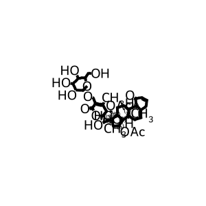 CC(=O)OC[C@]12CC[C@H]3[C@@H](CC=C4CC=CC(=O)[C@@]43C)[C@]1(O)[C@@H](OC(C)=O)C[C@@]2(O)C(C)(O)[C@H]1CC(C)=C(COC2OC(CO)C(O)C(O)C2O)C(=O)O1